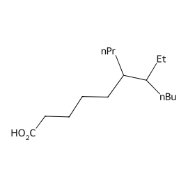 CCCCC(CC)C(CCC)CCCCC(=O)O